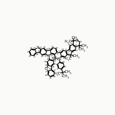 CC(C)(C)c1ccc(Nc2cc3c(cc2-c2ccc4c5cc6sc7ccccc7c6cc5n5c4c2Bc2cc4c(cc2-5)oc2ccccc24)-c2cc4c(cc2C3(C)C)C(C)(C)CCC4(C)C)cc1